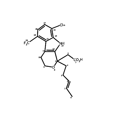 C/C=C/CCC1(CC(=O)O)OCCc2c1[nH]c1c(Cl)ccc(C(F)(F)F)c21